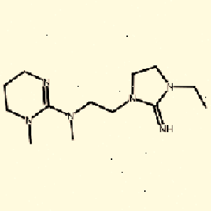 CCN1CCN(CCN(C)C2=NCCCN2C)C1=N